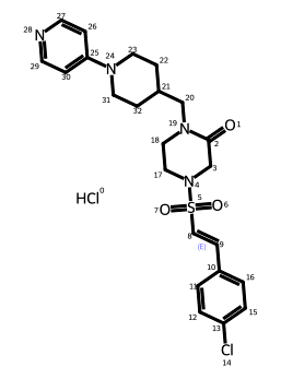 Cl.O=C1CN(S(=O)(=O)/C=C/c2ccc(Cl)cc2)CCN1CC1CCN(c2ccncc2)CC1